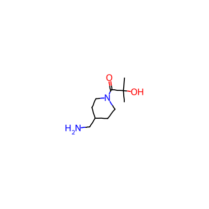 CC(C)(O)C(=O)N1CCC(CN)CC1